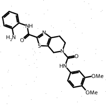 COc1ccc(NC(=O)N2CCc3nc(C(=O)Nc4ccccc4N)sc3C2)cc1OC